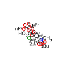 CCCOC(=O)C(OC(=O)C1(C(=O)O)Oc2ccc(CC(C)N(CC(O)c3cccc(Cl)c3)C(=O)OC(C)(C)C)cc2O1)C(=O)OCCC